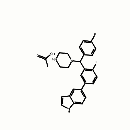 CC(=O)O.Fc1ccc(C(c2cc(-c3ccc4[nH]ccc4c3)ccc2F)N2CCNCC2)cc1